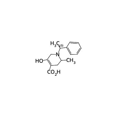 CC1CC(C(=O)O)=C(O)CN1[C@@H](C)c1ccccc1